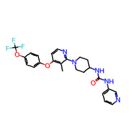 Cc1c(Oc2ccc(OC(F)(F)F)cc2)ccnc1N1CCC(NC(=O)Nc2cccnc2)CC1